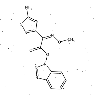 CON=C(C(=O)On1nnc2ccccc21)c1nsc(N)n1